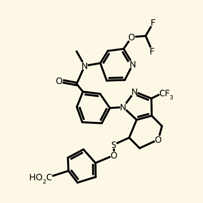 CN(C(=O)c1cccc(-n2nc(C(F)(F)F)c3c2C(SOc2ccc(C(=O)O)cc2)COC3)c1)c1ccnc(OC(F)F)c1